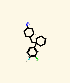 NC1CCC(CC2(c3ccc(F)c(Cl)c3)C[CH]CCC2)CC1